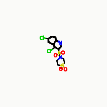 O=S1(=O)CCN(S(=O)(=O)c2cnc3ccc(Cl)cc3c2Cl)CC1